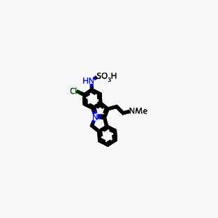 CNCCc1c2n(c3cc(Cl)c(NS(=O)(=O)O)cc13)Cc1ccccc1-2